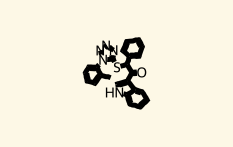 Cc1ccccc1-n1nnnc1SC(C(=O)c1c[nH]c2ccccc12)c1ccccc1